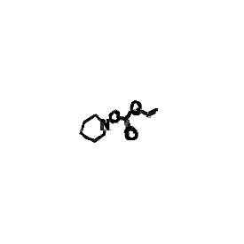 CCOC(=O)ON1CCCCC1